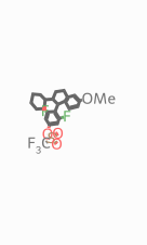 COc1ccc2c(c1)CCC(C1CCCCC1)C2c1c(F)cc(OS(=O)(=O)C(F)(F)F)cc1F